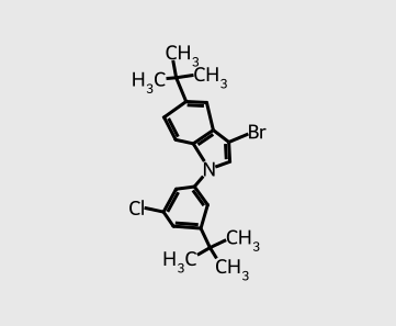 CC(C)(C)c1cc(Cl)cc(-n2cc(Br)c3cc(C(C)(C)C)ccc32)c1